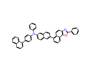 c1ccc(-c2nc3ccc4c(-c5ccc6cc(N(c7ccccc7)c7ccc(-c8cccc9ccccc89)cc7)ccc6c5)cccc4c3o2)cc1